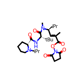 C/C(=C\[C@H](C(C)C)N(C)C(=O)[C@@H](NC(=O)[C@H]1CCCCN1C(C)C)C(C)(C)C)C(=O)ON1C(=O)CCC1=O